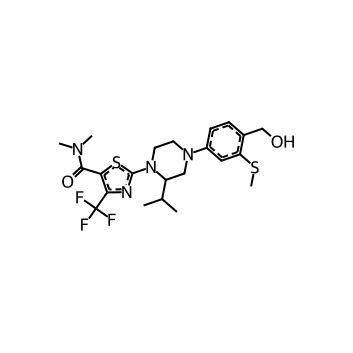 CSc1cc(N2CCN(c3nc(C(F)(F)F)c(C(=O)N(C)C)s3)C(C(C)C)C2)ccc1CO